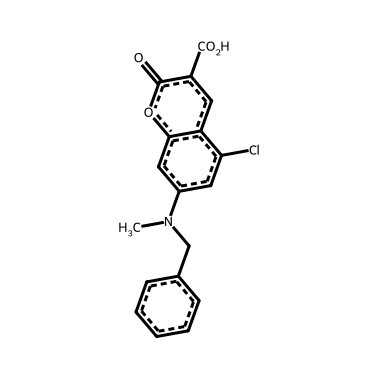 CN(Cc1ccccc1)c1cc(Cl)c2cc(C(=O)O)c(=O)oc2c1